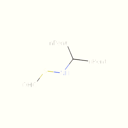 CCCCCC(CCCCC)NS[C]=O